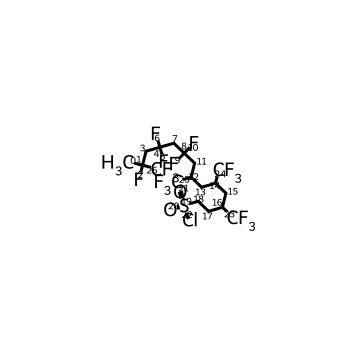 CC(F)(CC(F)(F)CC(F)(F)CC(CC(CC(CCS(=O)(=O)Cl)C(F)(F)F)C(F)(F)F)C(F)(F)F)C(F)(F)F